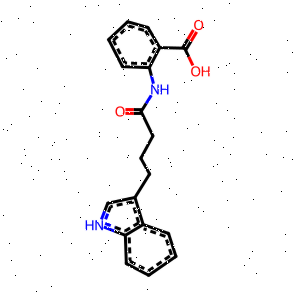 O=C(CCCc1c[nH]c2ccccc12)Nc1ccccc1C(=O)O